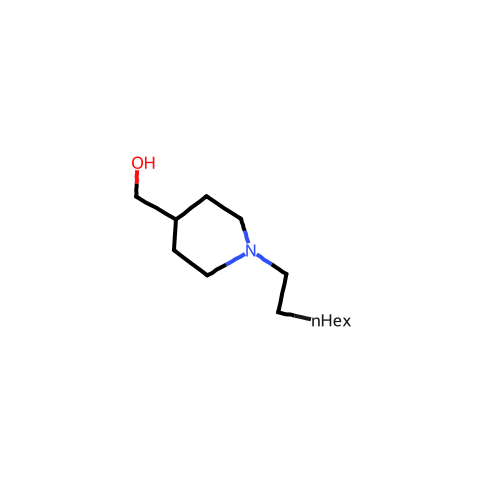 CCCCCCCCN1CCC(CO)CC1